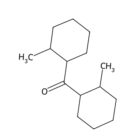 CC1CCCCC1C(=O)C1CCCCC1C